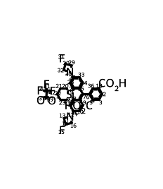 O=C(O)c1ccc(C(=O)O)c(C2=C3C=CC(=[N+]4CC(F)C4)C=C3[Si]3(CCCCC3)c3cc(N4CC(F)C4)ccc32)c1.O=C([O-])C(F)(F)F